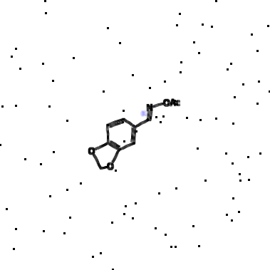 CC(=O)O/N=C/c1ccc2c(c1)OCO2